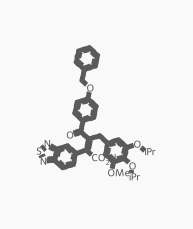 COc1cc(CC(C(=O)c2ccc(OCc3ccccc3)cc2)=C(C(=O)O)c2ccc3nsnc3c2)cc(OC(C)C)c1OC(C)C